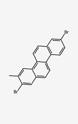 Cc1cc2c(ccc3c4ccc(Br)cc4ccc23)cc1Br